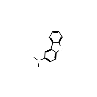 CN(C)c1ccc2oc3ccccc3c2c1